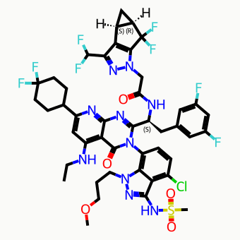 CCNc1cc(C2CCC(F)(F)CC2)nc2nc([C@H](Cc3cc(F)cc(F)c3)NC(=O)Cn3nc(C(F)F)c4c3C(F)(F)[C@@H]3C[C@H]43)n(-c3ccc(Cl)c4c(NS(C)(=O)=O)nn(CCCOC)c34)c(=O)c12